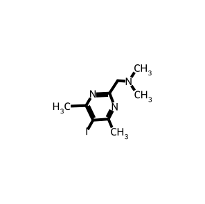 Cc1nc(CN(C)C)nc(C)c1I